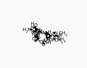 C=Nc1c(/C(N)=N\C)ncn1[C@H]1[C@H](O)[C@@H]2O[P@@](=O)(S)OC[C@@]34CO[C@@H]([C@H](n5cnc6c(=O)[nH]c(N)nc65)O3)[C@@H]4OP(=O)(O)OC[C@]23C[C@H]13